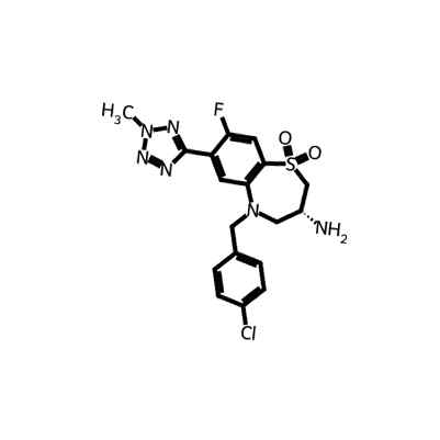 Cn1nnc(-c2cc3c(cc2F)S(=O)(=O)C[C@H](N)CN3Cc2ccc(Cl)cc2)n1